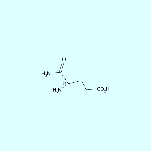 NC(=O)[C@@H](N)CCC(=O)O